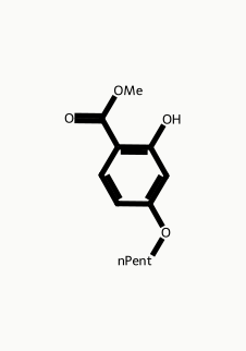 CCCCCOc1ccc(C(=O)OC)c(O)c1